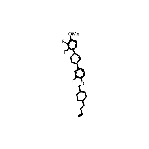 C=CCCC1CCC(COc2ccc(C3C=CC(c4ccc(OC)c(F)c4F)CC3)cc2F)CC1